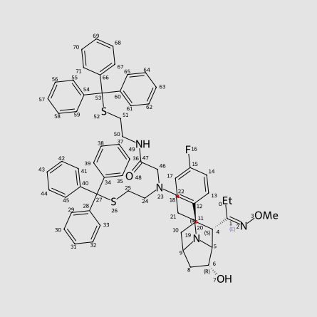 CC/C(=N\OC)[C@@H]1C2[C@H](O)CC(C[C@H]1c1ccc(F)cc1)N2CCCN(CCSC(c1ccccc1)(c1ccccc1)c1ccccc1)CC(=O)NCCSC(c1ccccc1)(c1ccccc1)c1ccccc1